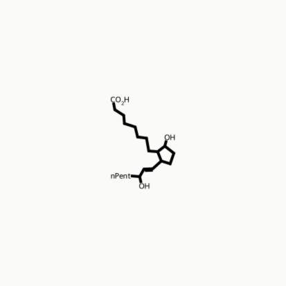 CCCCCC(O)C=CC1CCC(O)C1CCCCCCCC(=O)O